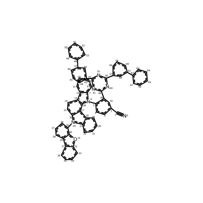 N#Cc1ccc(-n2c3ccccc3c3ccc4c(c5ccccc5n4-c4cccc5c4oc4ccccc45)c32)c(-c2nc(-c3cccc(-c4ccccc4)c3)nc(-c3cccc(-c4ccccc4)c3)n2)c1